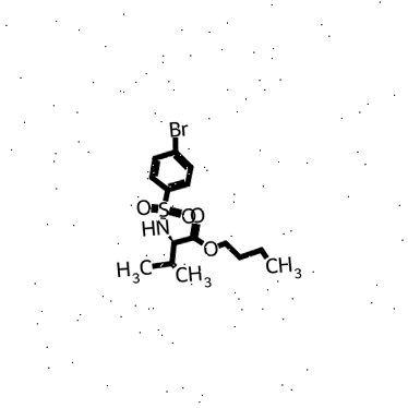 CCCCOC(=O)[C@@H](NS(=O)(=O)c1ccc(Br)cc1)C(C)C